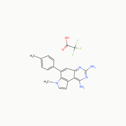 Cc1ccc(-c2cc3nc(N)nc(N)c3c3ccn(C)c23)cc1.O=C(O)C(F)(F)F